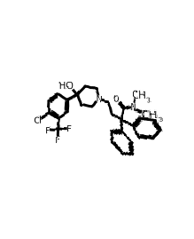 CN(C)C(=O)C(CCN1CCC(O)(c2ccc(Cl)c(C(F)(F)F)c2)CC1)(c1ccccc1)c1ccccc1